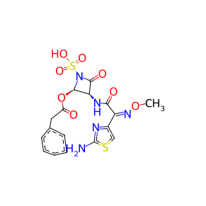 CO/N=C(\C(=O)N[C@@H]1C(=O)N(S(=O)(=O)O)[C@@H]1OC(=O)Cc1ccccc1)c1csc(N)n1